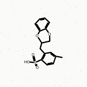 Cc1ccc(S(=O)(=O)O)c(CC2COc3ccccc3O2)c1